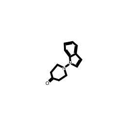 O=C1CCN(n2ccc3ccccc32)CC1